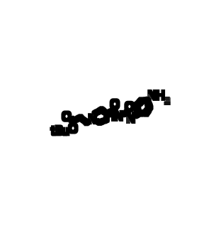 CC(C)(C)OC(=O)CCN1CCC(C(=O)Nc2nc3ccc(N)cc3o2)CC1